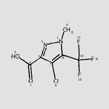 Cn1nc(C(=O)O)c(Cl)c1C(F)(F)F